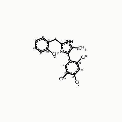 Cc1[nH]c(Cc2ccccc2Cl)nc1-c1cc(Cl)c(Cl)cc1Cl